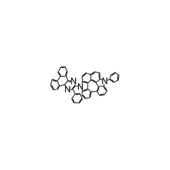 c1ccc(-c2nc3c4ccccc4c4ccccc4c3nc2-n2c3cccc4c3c3c5c(ccc6c5c5c-4cccc5n6-c4ccccc4)ccc32)cc1